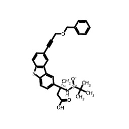 CC(C)(C)[S+]([O-])N[C@@](C)(CC(=O)O)c1ccc2sc3ccc(C#CCOCc4ccccc4)cc3c2c1